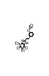 CCn1c(=O)c2c(nc(C=Cc3cccc(OC4COC4)c3)n2C)n(CC)c1=O